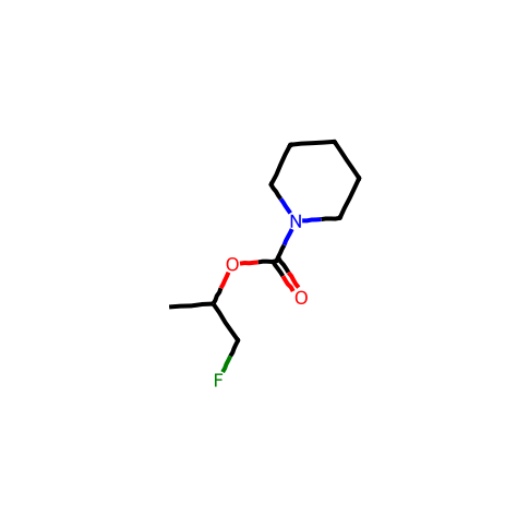 CC(CF)OC(=O)N1CCCCC1